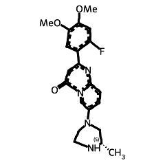 COc1cc(F)c(-c2cc(=O)n3cc(N4CCN[C@@H](C)C4)ccc3n2)cc1OC